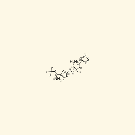 CC(C)(C)CC(N)c1ccc(CCC(C)(C)CC(N)c2ccsc2)s1